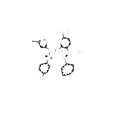 Cc1cc(NS(=O)(=O)c2ccc(N)cc2)no1.Cl.Nc1ccc(/N=N/c2ccccc2)c(N)n1